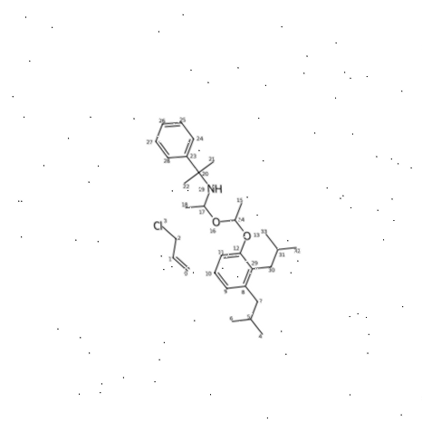 C=CCCl.CC(C)Cc1cccc(OC(C)OC(C)NC(C)(C)c2ccccc2)c1CC(C)C